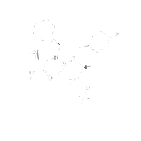 CN[C@@H]1CCCC[C@H]1CN(CC(=O)OC)C(=O)[C@H](Cc1ccc(F)cc1)NC(=O)OC(C)(C)C